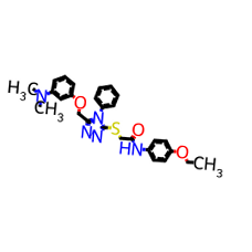 CCOc1ccc(NC(=O)CSc2nnc(COc3cccc(N(C)C)c3)n2-c2ccccc2)cc1